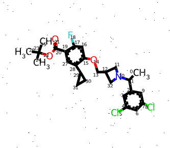 CC(c1cc(Cl)cc(Cl)c1)N1CC(COc2cc(F)c(C(=O)OC(C)(C)C)cc2C2CC2)C1